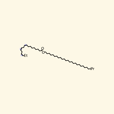 CC/C=C\C/C=C\C/C=C\CCCCCCCC(=O)OCCCCCCCCCCCCCCCCCCCCCCCCC(C)C